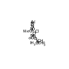 COc1nc(N2CCN(C(C)=O)CC2)ccc1-c1cc2nc(OC3CCC3)n(COCC[Si](C)(C)C)c2cc1Cl